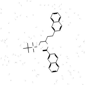 CC(C)(C)[Si](C)(C)OCC(CCc1ccc2ccccc2c1)OC(=O)c1ccc2ccccc2c1